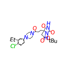 CCc1cc(N2CCN(C(=O)CCC3(CC(=O)OC(C)(C)C)NC(=O)NC3=O)CC2)ccc1Cl